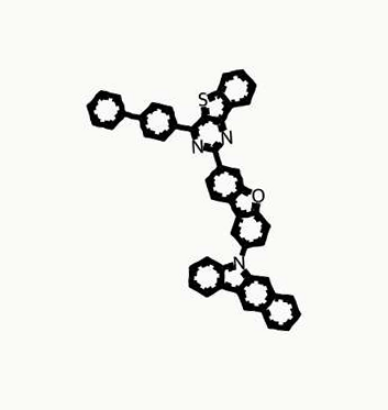 c1ccc(-c2ccc(-c3nc(-c4ccc5c(c4)oc4ccc(-n6c7ccccc7c7cc8ccccc8cc76)cc45)nc4c3sc3ccccc34)cc2)cc1